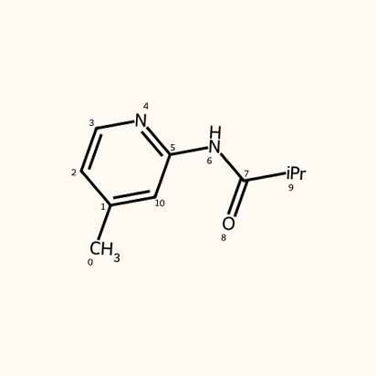 Cc1ccnc(NC(=O)C(C)C)c1